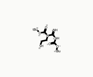 CC(C)(C)OC(=O)NC(=N)N(CCS)C(=O)OC(C)(C)C